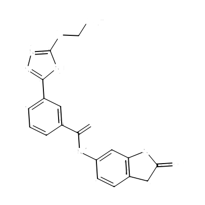 O=C(O)CSc1nnc(-c2cccc(C(=O)Nc3ccc4c(c3)NC(=O)C4)c2)[nH]1